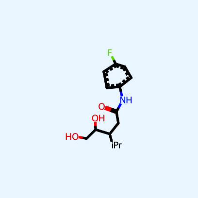 CC(C)C(CC(=O)Nc1ccc(F)cc1)C(O)CO